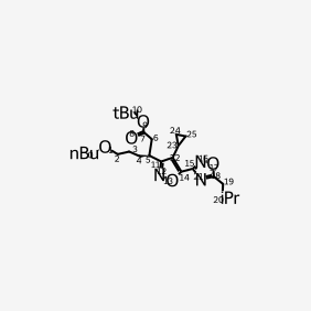 CCCCOCCC[C@@H](CC(=O)OC(C)(C)C)c1noc(-c2noc(CC(C)C)n2)c1C1CC1